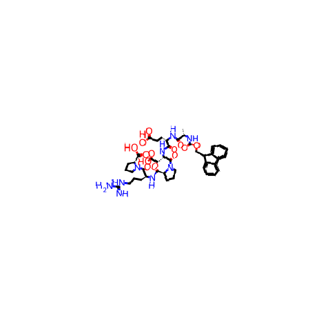 C[C@H](NC(=O)OCC1c2ccccc2-c2ccccc21)C(=O)N[C@@H](CCC(=O)O)C(=O)N[C@@H](CC(=O)O)C(=O)N1CCC[C@H]1C(=O)N[C@@H](CCCNC(=N)N)C(=O)N1CCC[C@H]1C(=O)O